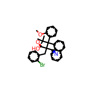 COc1ccccc1C(c1cccc2ccccc12)(C(C)(C)C)C(C#N)(Cc1ccccc1Br)C(=O)O